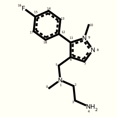 CN(CCN)Cc1cnn(C)c1-c1ccc(F)cc1